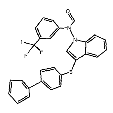 O=CN(c1cccc(C(F)(F)F)c1)n1cc(Sc2ccc(-c3ccccc3)cc2)c2ccccc21